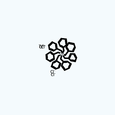 [Cl-].[Cl-].[Cl-].[Cl-].[Ti+4].c1ccc([CH2][Zr]([CH2]c2ccccc2)([CH2]c2ccccc2)([CH2]c2ccccc2)([CH2]c2ccccc2)([CH2]c2ccccc2)[CH2]c2ccccc2)cc1